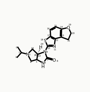 CC(C)N1CC2NC(=O)N(c3nc4c5c(ccc4s3)OCC5)[C@@H]2C1